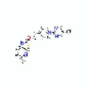 FC(F)(F)c1cnc(N2CCC(CCOc3nc4ccc(Br)nc4s3)CC2)nc1